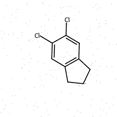 Clc1cc2c(cc1Cl)C[CH]C2